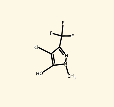 Cn1nc(C(F)(F)F)c(Cl)c1O